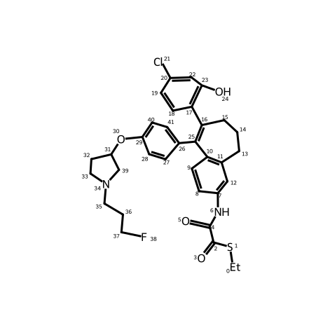 CCSC(=O)C(=O)Nc1ccc2c(c1)CCCC(c1ccc(Cl)cc1O)=C2c1ccc(OC2CCN(CCCF)C2)cc1